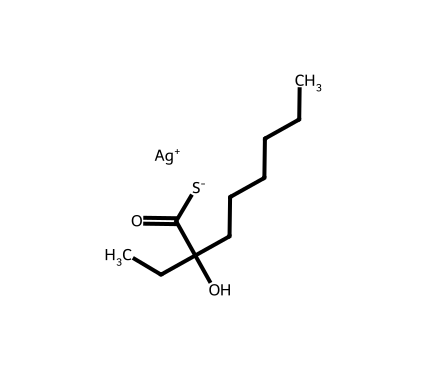 CCCCCCC(O)(CC)C(=O)[S-].[Ag+]